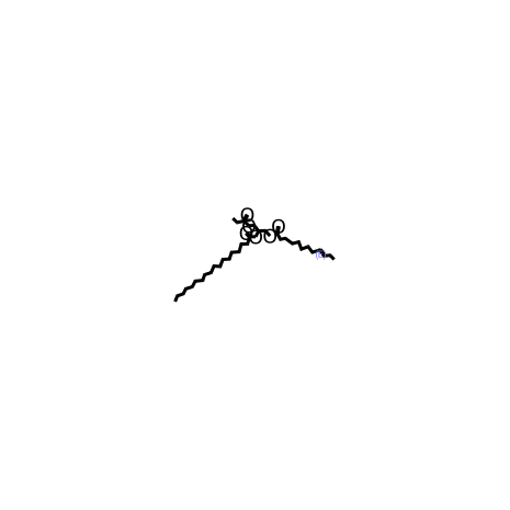 CC/C=C/CCCCCCCC(=O)OCC(COC(=O)CC)OC(=O)CCCCCCCCCCCCCCCCC